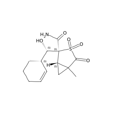 CC12C[C@@H]1[C@@](C(N)=O)([C@@H](O)[C@@H]1C=CCCC1)S(=O)(=O)C2=O